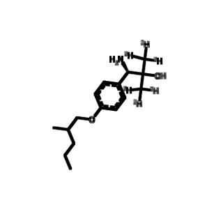 [2H]C([2H])([2H])C(O)([C@H](N)c1ccc(OCC(C)CCC)cc1)C([2H])([2H])[2H]